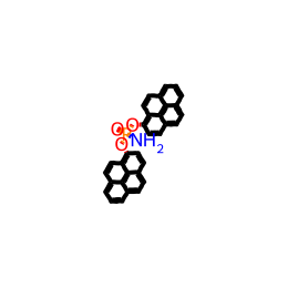 NP(=O)(Oc1ccc2ccc3cccc4ccc1c2c34)Oc1ccc2ccc3cccc4ccc1c2c34